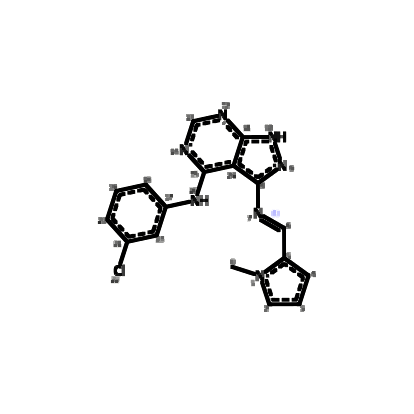 Cn1cccc1/C=N/c1n[nH]c2ncnc(Nc3cccc(Cl)c3)c12